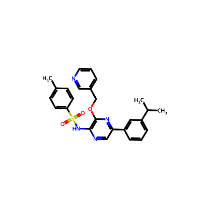 Cc1ccc(S(=O)(=O)Nc2ncc(-c3cccc(C(C)C)c3)nc2OCc2cccnc2)cc1